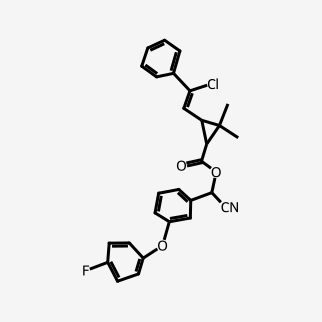 CC1(C)C(C=C(Cl)c2ccccc2)C1C(=O)OC(C#N)c1cccc(Oc2ccc(F)cc2)c1